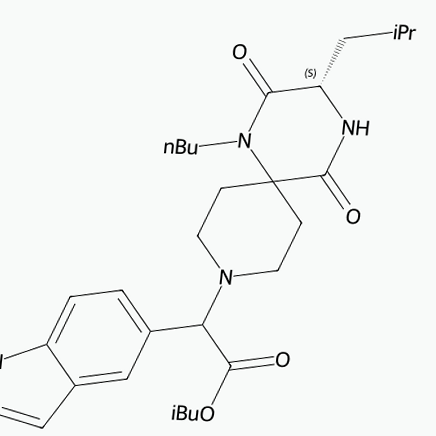 CCCCN1C(=O)[C@H](CC(C)C)NC(=O)C12CCN(C(C(=O)OCC(C)C)c1ccc3[nH]ccc3c1)CC2